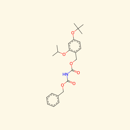 CC(C)Oc1cc(OC(C)(C)C)ccc1COC(=O)NC(=O)OCc1ccccc1